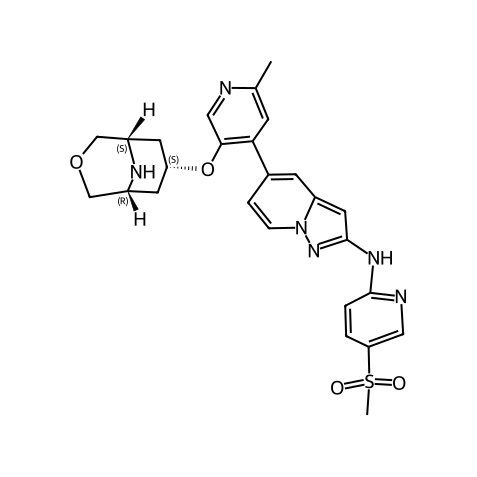 Cc1cc(-c2ccn3nc(Nc4ccc(S(C)(=O)=O)cn4)cc3c2)c(O[C@H]2C[C@H]3COC[C@@H](C2)N3)cn1